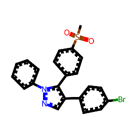 CS(=O)(=O)c1ccc(-c2c(-c3ccc(Br)cc3)cnn2-c2ccccc2)cc1